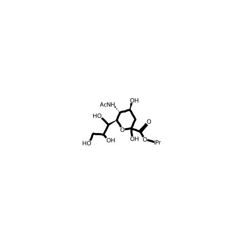 CC(=O)N[C@@H]1[C@@H](O)CC(O)(C(=O)OC(C)C)O[C@H]1C(O)C(O)CO